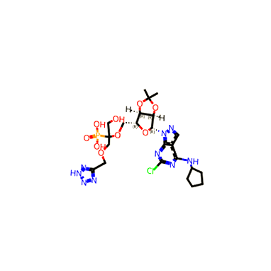 CC1(C)O[C@@H]2[C@H](O1)[C@@H](COC(CO)(COCc1nn[nH]n1)P(=O)(O)O)O[C@H]2n1ncc2c(NC3CCCC3)nc(Cl)nc21